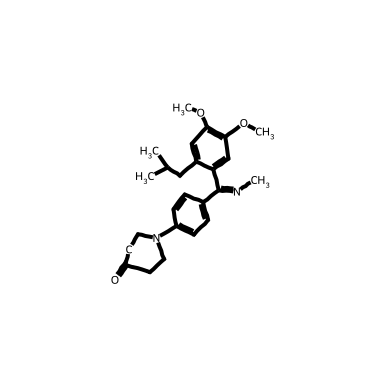 C/N=C(/c1ccc(N2CCC(=O)CC2)cc1)c1cc(OC)c(OC)cc1CC(C)C